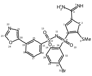 CSc1sc(C(=N)N)cc1S(=O)(=NS(=O)(=O)c1cccc(-c2cnco2)c1)c1cccc(Br)c1